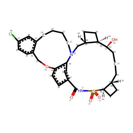 O=C1NS(=O)(=O)[C@@H]2CC[C@H]2CCC[C@H](O)[C@@H]2CC[C@H]2CN2CCCCc3cc(Cl)ccc3COc3ccc1cc32